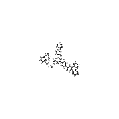 c1ccc(-c2ccc(-c3cc(C4CCCCC(c5cncc6ccccc56)C4)nc(-c4ccc(-c5ccc6c7ccccc7c7ccccc7c6c5)cc4)n3)cc2)cc1